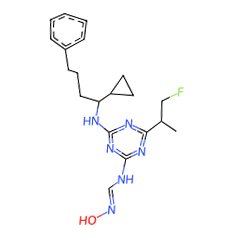 CC(CF)c1nc(NC=NO)nc(NC(CCCc2ccccc2)C2CC2)n1